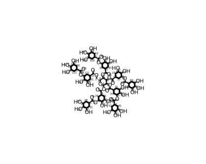 O=C(OC[C@H]1O[C@H](OC(=O)c2cc(O)c(O)c(OC(=O)c3cc(O)c(O)c(O)c3)c2)[C@H](OC(=O)c2cc(O)c(O)c(OC(=O)c3cc(O)c(O)c(O)c3)c2)[C@H](OC(=O)c2cc(O)c(O)c(OC(=O)c3cc(O)c(O)c(O)c3)c2)[C@@H]1OC(=O)c1cc(O)c(O)c(OC(=O)c2cc(O)c(O)c(O)c2)c1)c1cc(O)c(O)c(OC(=O)c2cc(O)c(O)c(O)c2)c1